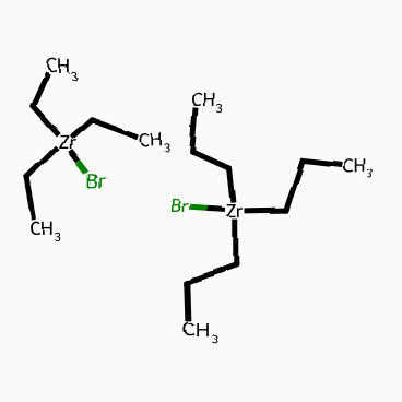 CC[CH2][Zr]([Br])([CH2]CC)[CH2]CC.C[CH2][Zr]([Br])([CH2]C)[CH2]C